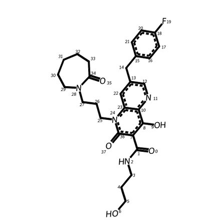 O=C(NCCCO)c1c(O)c2ncc(Cc3ccc(F)cc3)cc2n(CCCN2CCCCCC2=O)c1=O